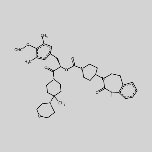 Cc1cc(C[C@@H](OC(=O)N2CCC(N3CCc4ccccc4NC3=O)CC2)C(=O)N2CCC(C)(N3CCOCC3)CC2)cc(C)c1OC=O